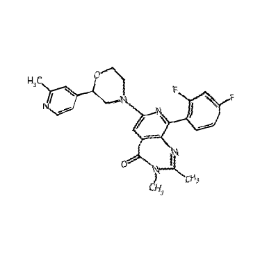 Cc1cc([C@@H]2CN(c3cc4c(=O)n(C)c(C)nc4c(-c4ccc(F)cc4F)n3)CCO2)ccn1